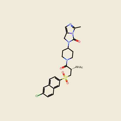 CC(=O)N[C@H](CS(=O)(=O)c1ccc2cc(Cl)ccc2c1)C(=O)N1CCC(N2Cc3cnc(C)n3C2=O)CC1